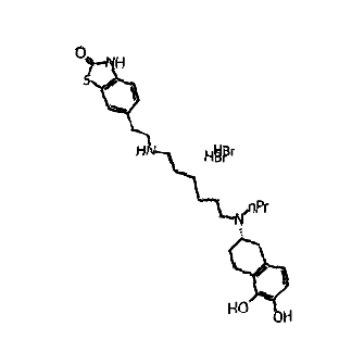 Br.Br.CCCN(CCCCCCNCCc1ccc2[nH]c(=O)sc2c1)[C@H]1CCc2c(ccc(O)c2O)C1